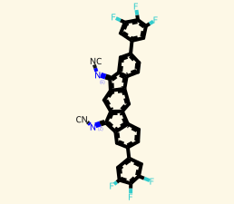 [C-]#[N+]/N=c1/c2cc(-c3cc(F)c(F)c(F)c3)ccc2c2cc3c(cc12)/c(=N/[N+]#[C-])c1cc(-c2cc(F)c(F)c(F)c2)ccc13